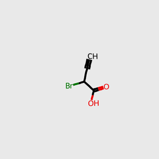 C#CC(Br)C(=O)O